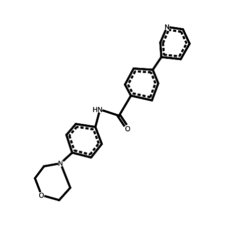 O=C(Nc1ccc(N2CCOCC2)cc1)c1ccc(-c2cccnc2)cc1